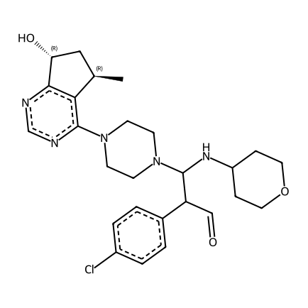 C[C@@H]1C[C@@H](O)c2ncnc(N3CCN(C(NC4CCOCC4)C(C=O)c4ccc(Cl)cc4)CC3)c21